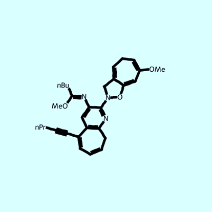 CCCC#CC1=CC=CCc2nc(N3CC4=CCC=C(OC)C=C4O3)c(/N=C(/CCCC)OC)cc21